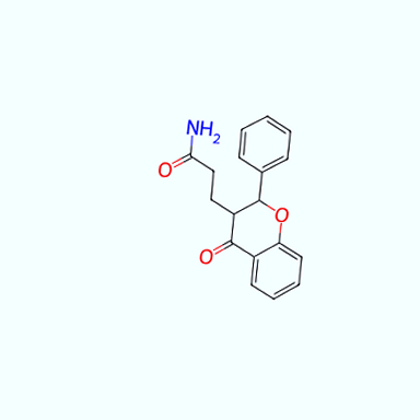 NC(=O)CCC1C(=O)c2ccccc2OC1c1ccccc1